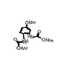 COC(=O)Nc1ccc(OC)cc1NC(=O)OC